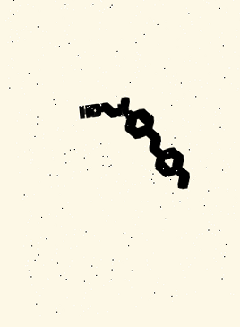 C=Cc1ccc(C=Cc2ccc(N(C)CCO)cc2)cc1